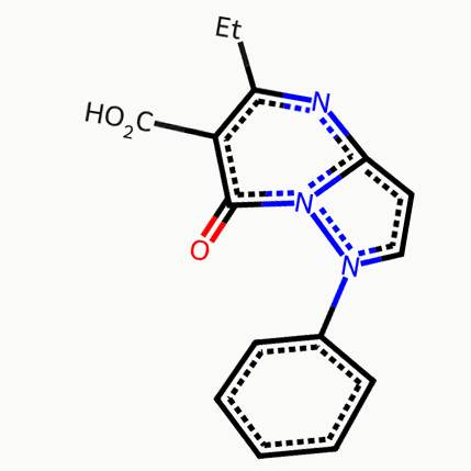 CCc1nc2ccn(-c3ccccc3)n2c(=O)c1C(=O)O